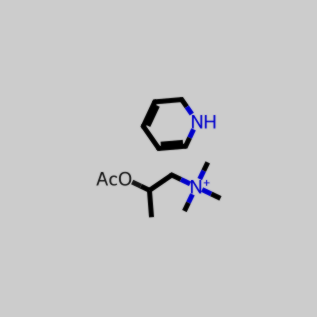 C1=CCNC=C1.CC(=O)OC(C)C[N+](C)(C)C